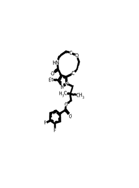 CCc1nn(CC(C)(C)COC(=O)c2ccc(F)c(F)c2)c2c1C(=O)NCCCOCCC2